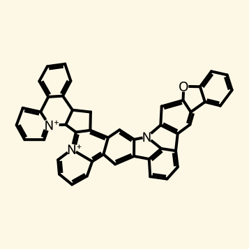 c1ccc2c(c1)-c1cccc[n+]1C1c3c(c4cc5c(cc4c4cccc[n+]34)c3cccc4c6cc7c(cc6n5c43)oc3ccccc37)CC21